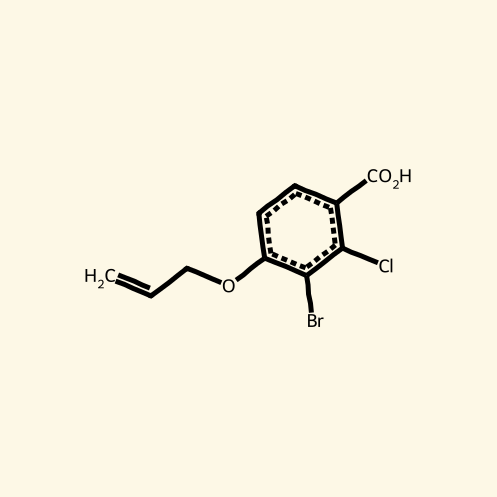 C=CCOc1ccc(C(=O)O)c(Cl)c1Br